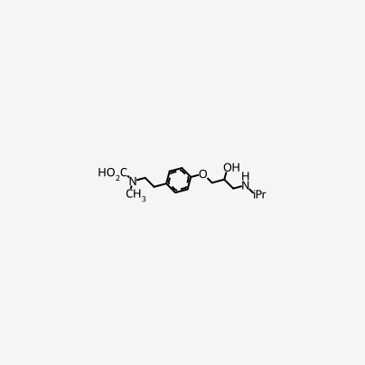 CC(C)NCC(O)COc1ccc(CCN(C)C(=O)O)cc1